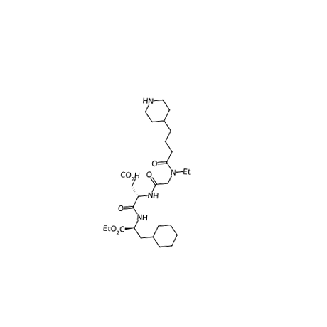 CCOC(=O)[C@H](CC1CCCCC1)NC(=O)[C@H](CC(=O)O)NC(=O)CN(CC)C(=O)CCCC1CCNCC1